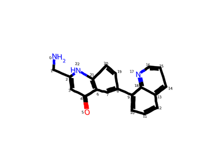 NCc1cc(=O)c2cc(-c3cccc4cccnc34)ccc2[nH]1